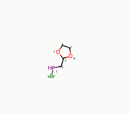 BrPCC1OCCO1